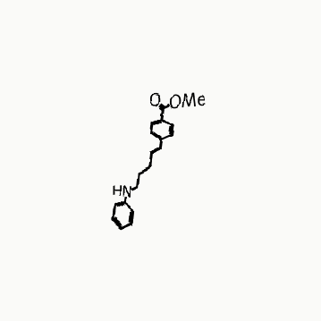 COC(=O)c1ccc(C=CCCCNc2ccccc2)cc1